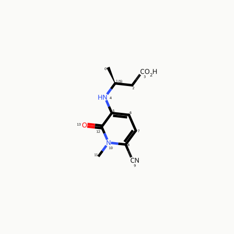 C[C@@H](CC(=O)O)Nc1ccc(C#N)n(C)c1=O